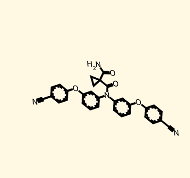 N#Cc1ccc(Oc2cccc(N(C(=O)C3(C(N)=O)CC3)c3cccc(Oc4ccc(C#N)cc4)c3)c2)cc1